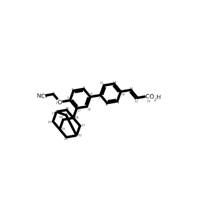 N#CCOc1ccc(-c2ccc(C=CC(=O)O)cc2)cc1C12CC3CC(CC(C3)C1)C2